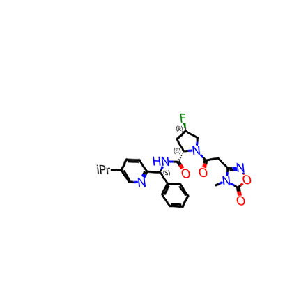 CC(C)c1ccc([C@@H](NC(=O)[C@@H]2C[C@@H](F)CN2C(=O)Cc2noc(=O)n2C)c2ccccc2)nc1